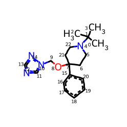 CC(C)(C)N1CCC(OCn2cncn2)(c2ccccc2)CC1